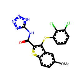 COc1ccc2sc(C(=O)Nc3nnn[nH]3)c(Sc3cccc(Cl)c3Cl)c2c1